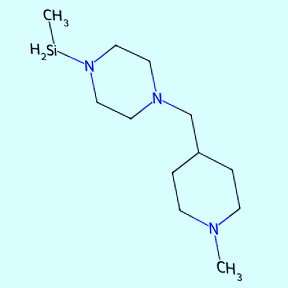 C[SiH2]N1CCN(CC2CCN(C)CC2)CC1